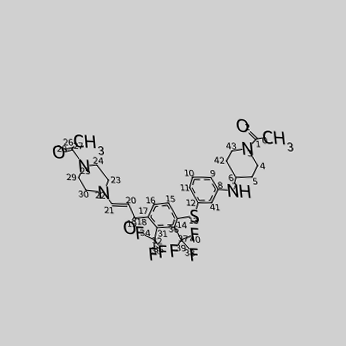 CC(=O)N1CCC(Nc2cccc(Sc3ccc(C(=O)C=CN4CCN(C(C)=O)CC4)c(C(F)(F)F)c3C(F)(F)F)c2)CC1